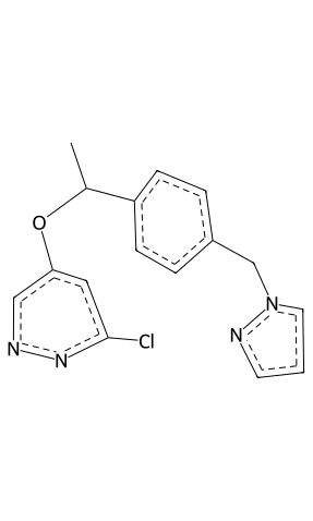 CC(Oc1cnnc(Cl)c1)c1ccc(Cn2cccn2)cc1